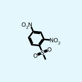 CS(=O)(=O)c1ccc([N+](=O)[O-])cc1[N+](=O)[O-]